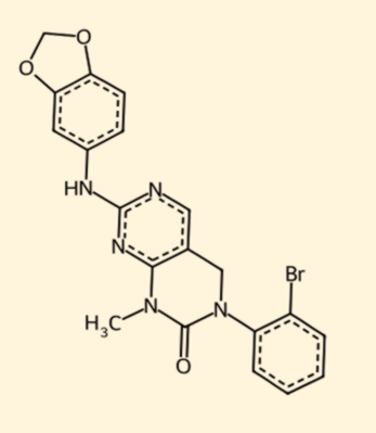 CN1C(=O)N(c2ccccc2Br)Cc2cnc(Nc3ccc4c(c3)OCO4)nc21